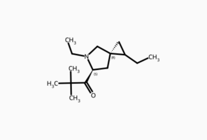 CCC1C[C@@]12C[C@@H](C(=O)C(C)(C)C)N(CC)C2